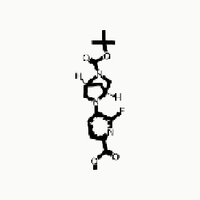 COC(=O)c1ccc(N2C[C@@H]3C[C@H]2CN3C(=O)OC(C)(C)C)c(F)n1